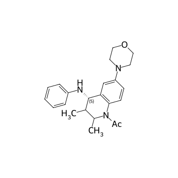 CC(=O)N1c2ccc(N3CCOCC3)cc2[C@@H](Nc2ccccc2)C(C)C1C